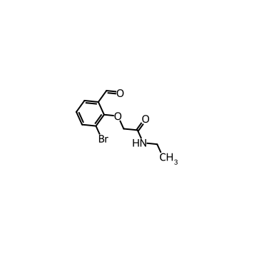 CCNC(=O)COc1c(Br)cccc1C=O